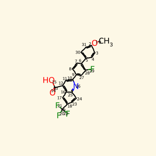 COc1ccc(-c2ccc(-c3cc(C(=O)O)c4cc(C(F)(F)F)ccc4n3)cc2F)cc1